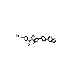 CC1CCC(C(=O)N(c2cc(-c3ccc(-c4cnc5occc5c4)cc3)sc2C(=O)O)C(C)C)CC1